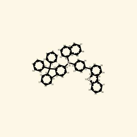 c1ccc(C2(c3ccccc3)c3ccccc3-c3ccc(N(c4ccc(-c5cccc6c5oc5ccccc56)cc4)c4cccc5ccccc45)cc32)cc1